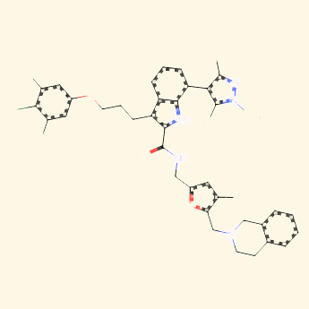 Cc1cc(OCCCc2c(C(=O)NCc3cc(C(=O)O)c(CN4CCc5ccccc5C4)o3)[nH]c3c(-c4c(C)nn(C)c4C)cccc23)cc(C)c1Cl